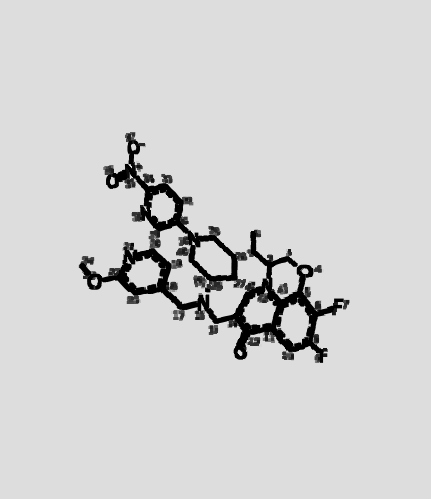 CCC1COc2c(F)c(F)cc3c(=O)c(CN(Cc4ccnc(OC)c4)[C@H]4CCCN(c5ccc([N+](=O)[O-])nc5)C4)cn1c23